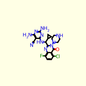 N#Cc1c(N)nc(N)nc1NC(c1nc2c(F)ccc(Cl)c2c(=O)n1N1CCNCC1)C1CC1